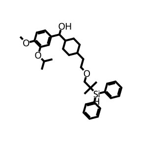 COc1ccc(C(O)C2CCC(CCOCC(C)(C)[SiH](c3ccccc3)c3ccccc3)CC2)cc1OC(C)C